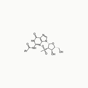 CC(C)C(=O)Nc1nc2c(ncn2[C@@H]2O[C@H](CO)[C@@H](O)[C@H]2S(C)(=O)=O)c(=O)[nH]1